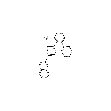 Nc1cccc(-c2ccccc2)c1-c1ccc(-c2ccc3ccccc3c2)cc1